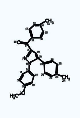 COc1ccc(-n2nc(C(=O)c3ccc(C)cc3)cc2-c2ccc(C)cc2)cc1